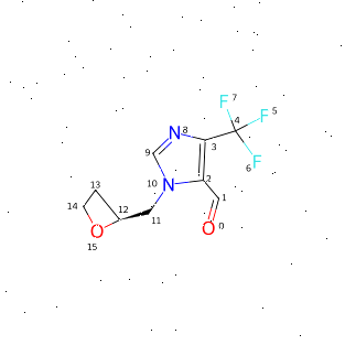 O=Cc1c(C(F)(F)F)ncn1C[C@@H]1CCO1